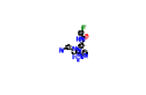 N#Cc1cccc(-c2ccc3nc(-c4cccnc4N)n(-c4ccc(CNC(=O)c5cccc(F)c5)cc4)c3n2)c1